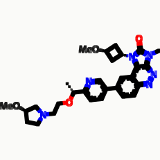 CO[C@@H]1CCN(CCO[C@H](C)c2ccc(-c3ccc4nnc5c(c4c3)n([C@H]3C[C@H](OC)C3)c(=O)n5C)cn2)C1